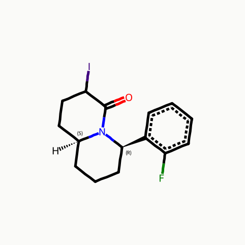 O=C1C(I)CC[C@@H]2CCC[C@H](c3ccccc3F)N12